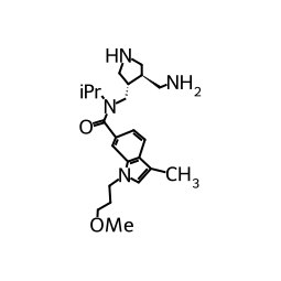 COCCCn1cc(C)c2ccc(C(=O)N(C[C@@H]3CNC[C@H]3CN)C(C)C)cc21